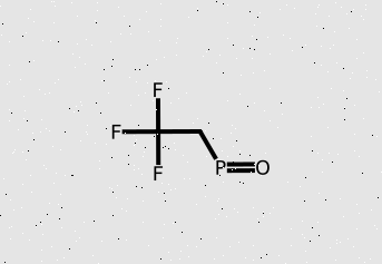 O=PCC(F)(F)F